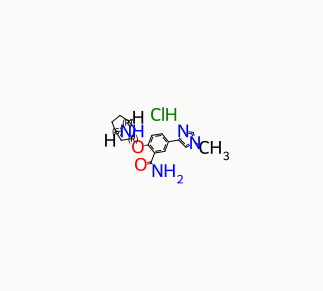 Cl.Cn1cnc(-c2ccc(O[C@H]3C[C@H]4CC[C@@H](C3)N4)c(C(N)=O)c2)c1